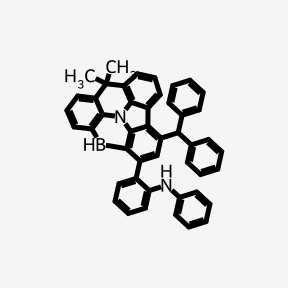 CC1(C)c2cccc3c2-n2c4c1cccc4c1c(C(c4ccccc4)c4ccccc4)cc(-c4ccccc4Nc4ccccc4)c(c12)B3